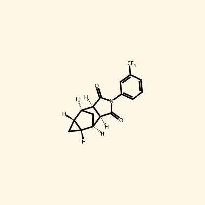 O=C1[C@@H]2[C@H]3C[C@H]([C@@H]4C[C@@H]43)[C@@H]2C(=O)N1c1cccc(C(F)(F)F)c1